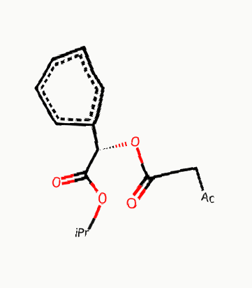 CC(=O)CC(=O)O[C@H](C(=O)OC(C)C)c1ccccc1